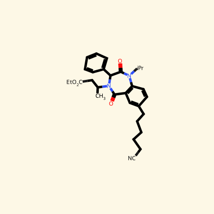 CCOC(=O)CC(C)N1C(=O)c2cc(CCCCCC#N)ccc2N(C(C)C)C(=O)C1c1ccccc1